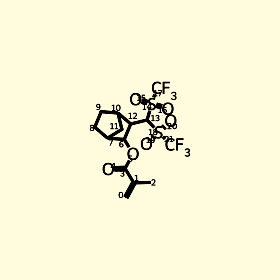 C=C(C)C(=O)OC1C2CCC(C2)C1C(S(=O)(=O)C(F)(F)F)S(=O)(=O)C(F)(F)F